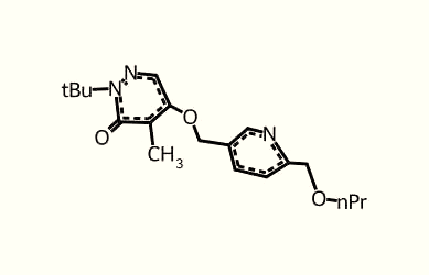 CCCOCc1ccc(COc2cnn(C(C)(C)C)c(=O)c2C)cn1